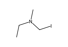 CCN(C)CI